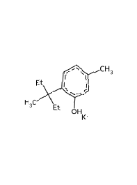 CCC(C)(CC)c1ccc(C)cc1O.[K]